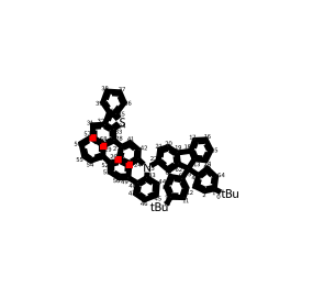 CC(C)(C)c1ccc(C2(c3ccc(C(C)(C)C)cc3)c3ccccc3-c3ccc(N(c4ccc(-c5cccc6c5sc5ccccc56)cc4)c4ccccc4-c4ccc(-c5ccccc5)cc4)cc32)cc1